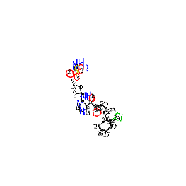 NS(=O)(=O)OC[C@H]1CCC(Nc2ncncc2C(=O)c2ccc(-c3ccccc3Cl)o2)C1